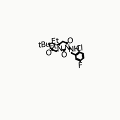 CCC1(CC)CC(=O)N(NCc2cc(F)ccc2Cl)C(=O)N1CC(=O)OC(C)(C)C